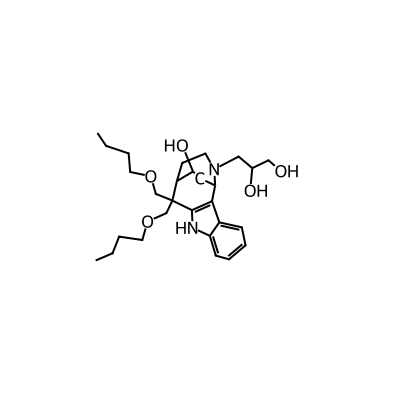 CCCCOCC1(COCCCC)c2[nH]c3ccccc3c2C2CC(O)C1CCN2CC(O)CO